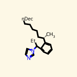 CCCCCCCCCCCCCCC[C@H](C)c1ccccc1C(CC)n1ccnc1